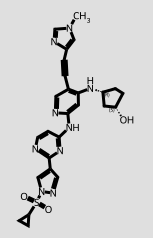 Cn1cnc(C#Cc2cnc(Nc3ccnc(-c4cnn(S(=O)(=O)C5CC5)c4)n3)cc2N[C@@H]2CC[C@H](O)C2)c1